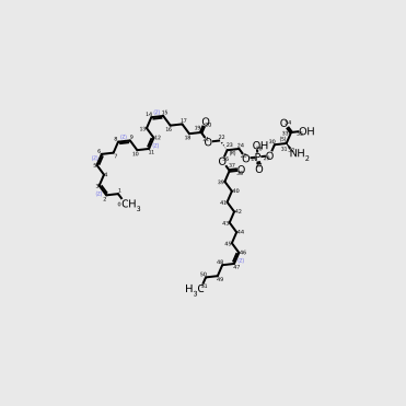 CC/C=C\C/C=C\C/C=C\C/C=C\C/C=C\CCCC(=O)OC[C@H](COP(=O)(O)OC[C@H](N)C(=O)O)OC(=O)CCCCCCC/C=C\CCCC